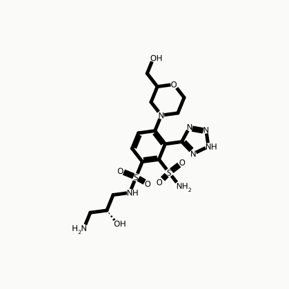 NC[C@@H](O)CNS(=O)(=O)c1ccc(N2CCOC(CO)C2)c(-c2nn[nH]n2)c1S(N)(=O)=O